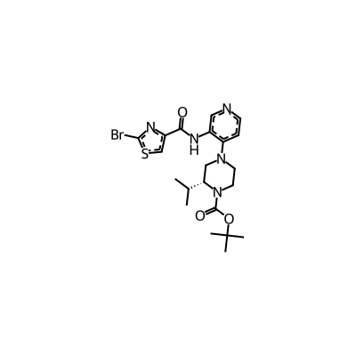 CC(C)[C@@H]1CN(c2ccncc2NC(=O)c2csc(Br)n2)CCN1C(=O)OC(C)(C)C